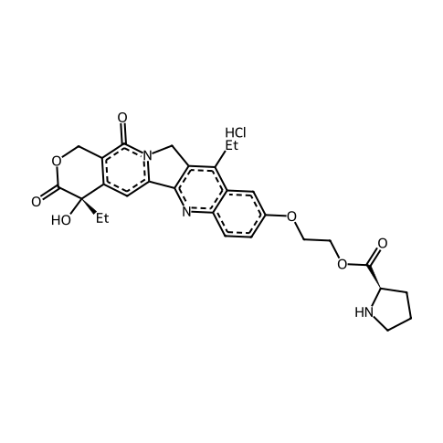 CCc1c2c(nc3ccc(OCCOC(=O)[C@H]4CCCN4)cc13)-c1cc3c(c(=O)n1C2)COC(=O)[C@]3(O)CC.Cl